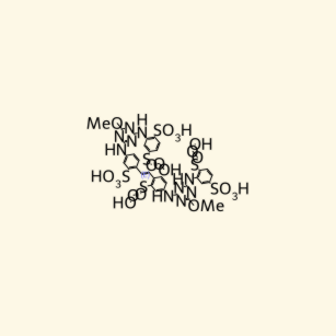 COc1nc(Nc2ccc(/C=C/c3ccc(Nc4nc(Nc5cc(SOOO)ccc5S(=O)(=O)O)nc(OC)n4)cc3S(=O)(=O)O)c(SOOO)c2)nc(Nc2cc(S(=O)(=O)O)ccc2SOOO)n1